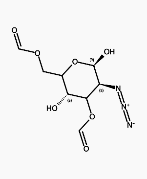 [N-]=[N+]=N[C@H]1C(OC=O)[C@H](O)C(COC=O)O[C@H]1O